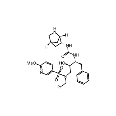 COc1ccc(S(=O)(=O)N(CC(C)C)C[C@@H](O)[C@H](Cc2ccccc2)NC(=O)N[C@@H]2C[C@@H]3CN[C@H]2C3)cn1